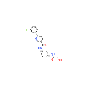 O=C(CO)N[C@@H]1CCC[C@H](NC(=O)c2ccc(-c3cccc(F)c3)nc2)C1